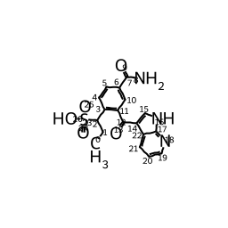 CCC(c1ccc(C(N)=O)cc1C(=O)c1c[nH]c2ncccc12)S(=O)(=O)O